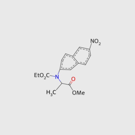 CCOC(=O)N(c1ccc2cc([N+](=O)[O-])ccc2c1)C(C)C(=O)OC